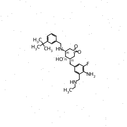 CCNCc1cc(C[C@@H]2CS(=O)(=O)C[C@H](NCc3cccc(C(C)(C)C)c3)[C@H]2O)cc(F)c1N